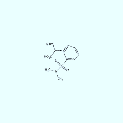 CCCCCCC(C(=O)O)c1ccccc1S(=O)(=O)N(C)C